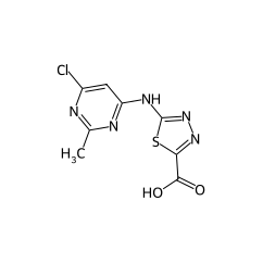 Cc1nc(Cl)cc(Nc2nnc(C(=O)O)s2)n1